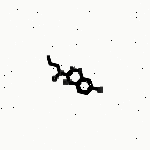 CCC[S+]([O-])C1=NSc2cc(Cl)ccc2N1